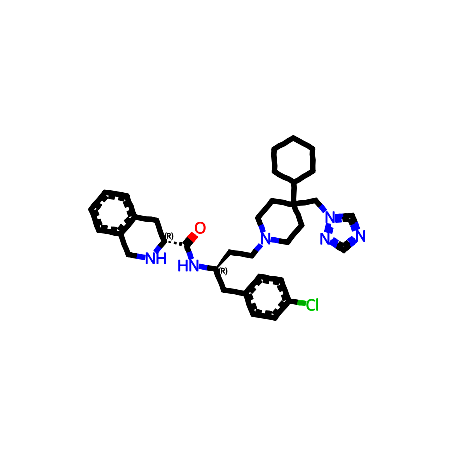 O=C(N[C@@H](CCN1CCC(Cn2cncn2)(C2CCCCC2)CC1)Cc1ccc(Cl)cc1)[C@H]1Cc2ccccc2CN1